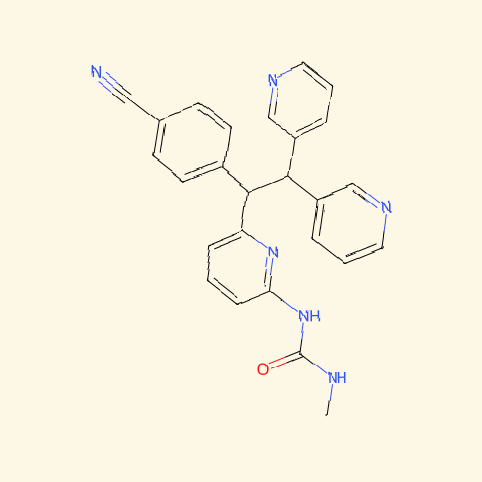 CNC(=O)Nc1cccc(C(c2ccc(C#N)cc2)C(c2cccnc2)c2cccnc2)n1